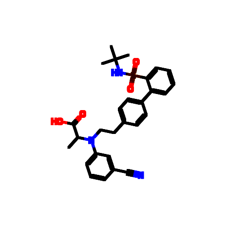 CC(C(=O)O)N(CCc1ccc(-c2ccccc2S(=O)(=O)NC(C)(C)C)cc1)c1cccc(C#N)c1